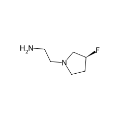 NCCN1CC[C@H](F)C1